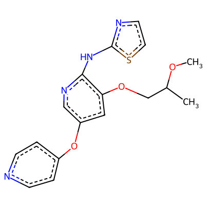 COC(C)COc1cc(Oc2ccncc2)cnc1Nc1nccs1